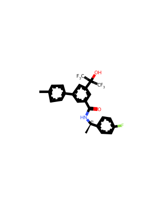 Cc1ccc(-c2cc(C(=O)N[C@H](C)c3ccc(F)cc3)cc(C(O)(C(F)(F)F)C(F)(F)F)c2)cc1